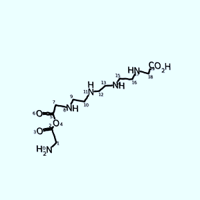 NCC(=O)OC(=O)CNCCNCCNCCNCC(=O)O